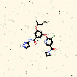 COCC(C)Oc1cc(Oc2ncc(C(=O)N3CCC3)cc2Cl)cc(C(=O)Nc2cc[nH]n2)c1